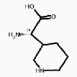 N[C@H](C(=O)O)C1CCCNC1